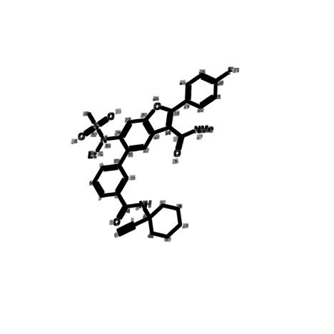 C#CC1(NC(=O)c2cccc(-c3cc4c(C(=O)NC)c(-c5ccc(F)cc5)oc4cc3N(CC)S(C)(=O)=O)c2)CCCCC1